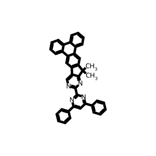 CC1(C)c2cc3c4ccccc4c4ccccc4c3cc2-c2cnc(-c3nc(-c4ccccc4)cc(-c4ccccc4)n3)nc21